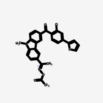 C/C(=N\OC(=O)C(F)(F)F)c1ccc2c(c1)c1cc(C(=O)c3ccc(-c4ccco4)cc3Cl)ccc1n2C